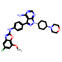 COc1cc(F)cc2nc(Nc3ccc(-c4nn([C@H]5CC[C@H](N6CCOCC6)CC5)c5ncnc(N)c45)cc3)oc12